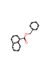 O=C(OCc1ccccc1)c1cc[c]c2ccccc12